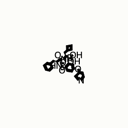 O=C(N[C@@H](CC1CCC1)B(O)O)[C@H](Cc1ccccc1)NS(=O)(=O)c1ccc(Oc2ccncc2)cc1